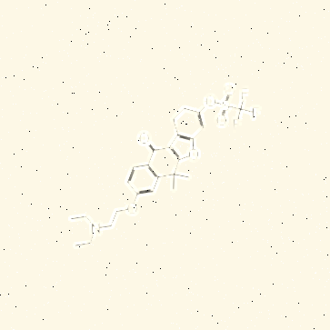 CCN(CC)CCOc1ccc2c(c1)C(C)(C)c1oc3c(c1C2=O)CCC(OS(=O)(=O)C(F)(F)F)=C3